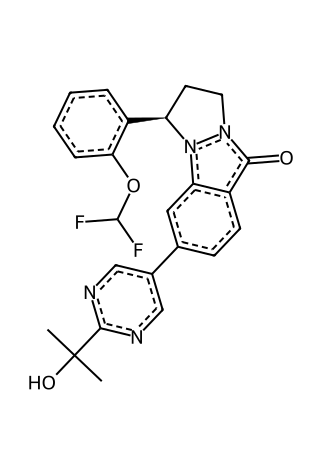 CC(C)(O)c1ncc(-c2ccc3c(=O)n4n(c3c2)[C@@H](c2ccccc2OC(F)F)CC4)cn1